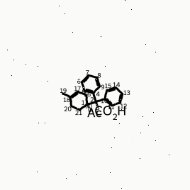 CC(=O)[C@@]1(C(C(=O)O)(c2ccccc2)c2ccccc2)CC=C(C)CC1